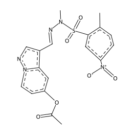 CC(=O)Oc1ccn2ncc(C=NN(C)S(=O)(=O)c3cc([N+](=O)[O-])ccc3C)c2c1